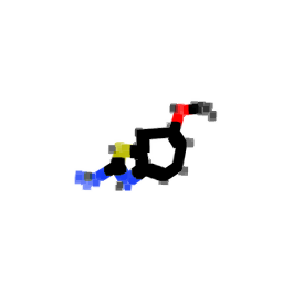 Nc1nc2c(s1)=CC(OC(F)(F)F)=CCC=2